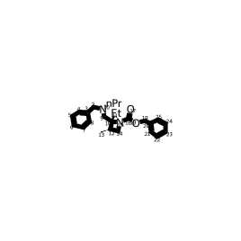 CCCN(Cc1ccccc1)C[C@@]1(CC)[C@@H](C)CN1C(=O)OCc1ccccc1